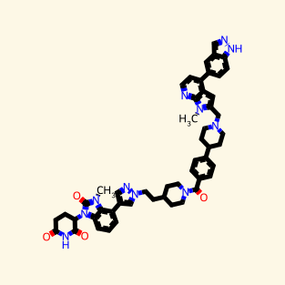 Cn1c(CN2CCC(c3ccc(C(=O)N4CCC(CCn5cc(-c6cccc7c6n(C)c(=O)n7C6CCC(=O)NC6=O)cn5)CC4)cc3)CC2)cc2c(-c3ccc4[nH]ncc4c3)ccnc21